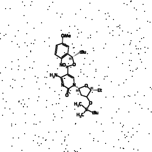 CC[C@H]1O[C@@H](n2cc(CO[C@H](c3cc(OC)ccc3[N+](=O)[O-])C(C)(C)C)c(N)nc2=O)CC1O[Si](C)(C)C(C)(C)C